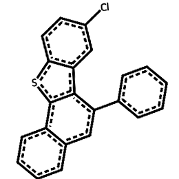 Clc1ccc2sc3c4ccccc4cc(-c4ccccc4)c3c2c1